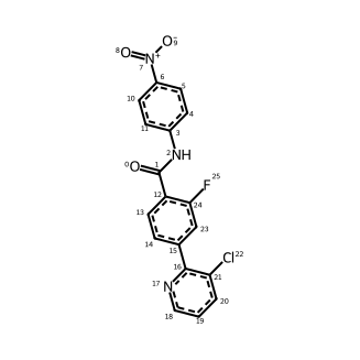 O=C(Nc1ccc([N+](=O)[O-])cc1)c1ccc(-c2ncccc2Cl)cc1F